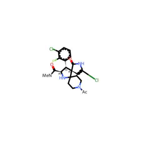 CNC(=O)[C@@H]1NC2(CCN(C(C)=O)CC2)[C@@]2(C(=O)Nc3cc(Cl)ccc32)[C@H]1c1cccc(Cl)c1F